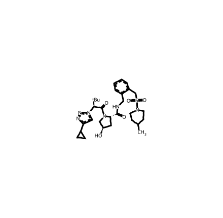 CC1CCN(S(=O)(=O)Cc2ccccc2CNC(=O)[C@@H]2C[C@@H](O)CN2C(=O)[C@@H](n2cc(C3CC3)nn2)C(C)(C)C)CC1